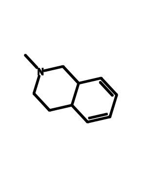 CN1CCC2C=CC=CC2C1